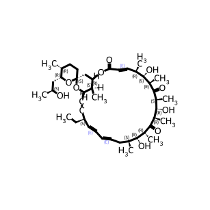 CC[C@@H]1/C=C/C=C/C[C@H](C)[C@@H](O)[C@@H](C)C(=O)[C@H](C)[C@@H](O)[C@H](C)C(=O)[C@H](C)[C@@H](O)[C@H](C)/C=C/C(=O)O[C@@H]2C[C@]3(CC[C@@H](C)[C@@H](C[C@H](C)O)O3)O[C@H](CC1)[C@@H]2C